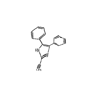 C#Cc1nc(-c2ccccc2)c(-c2ccccc2)[nH]1